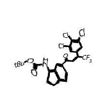 CC(C)(C)OC(=O)NC1CCc2ccc(C(=O)/C=C(\c3cc(Cl)c(Cl)c(Cl)c3)C(F)(F)F)cc21